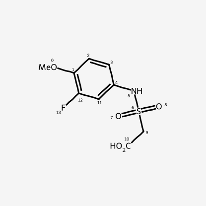 COc1ccc(NS(=O)(=O)CC(=O)O)cc1F